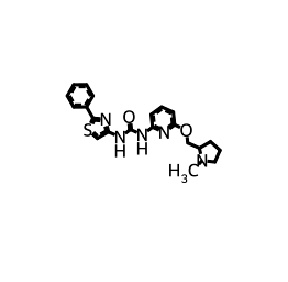 CN1CCCC1COc1cccc(NC(=O)Nc2csc(-c3ccccc3)n2)n1